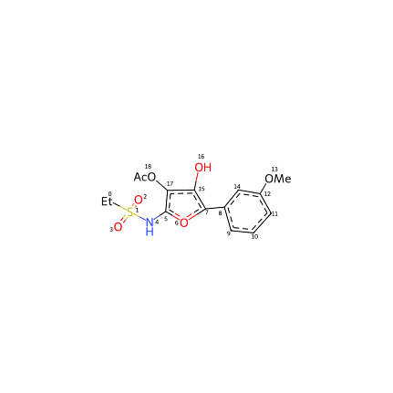 CCS(=O)(=O)Nc1oc(-c2cccc(OC)c2)c(O)c1OC(C)=O